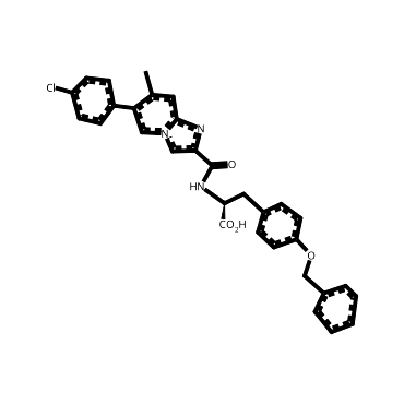 Cc1cc2nc(C(=O)N[C@@H](Cc3ccc(OCc4ccccc4)cc3)C(=O)O)cn2cc1-c1ccc(Cl)cc1